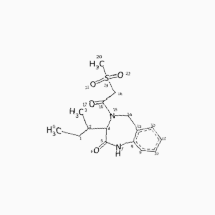 CCC(C)C1C(=O)Nc2ccccc2CN1C(=O)CS(C)(=O)=O